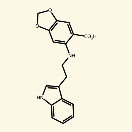 O=C(O)c1cc2c(cc1NCCc1c[nH]c3ccccc13)OCO2